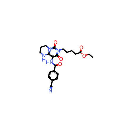 CCOC(=O)CCCCn1c(=O)c(NC(=O)c2ccc(C#N)cc2)c2n(c1=O)CCCN2